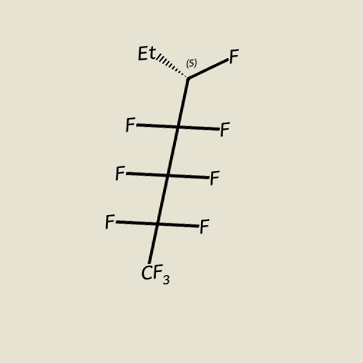 [CH2]C[C@H](F)C(F)(F)C(F)(F)C(F)(F)C(F)(F)F